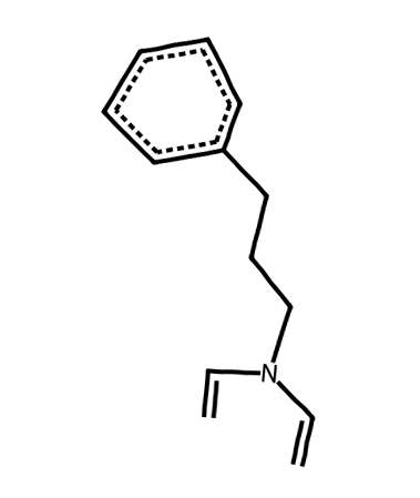 C=CN(C=C)CCCc1ccccc1